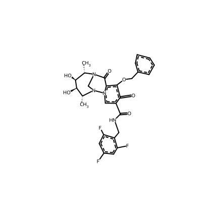 C[C@@H]1[C@@H](O)[C@@H](O)[C@H](C)N2CN1n1cc(C(=O)NCc3c(F)cc(F)cc3F)c(=O)c(OCc3ccccc3)c1C2=O